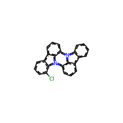 Clc1cccc2c3cccc4c3n(c3cccc5c6ccccc6n4c53)c12